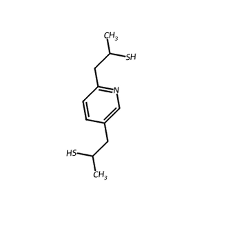 CC(S)Cc1ccc(CC(C)S)nc1